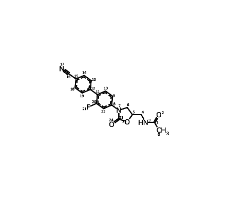 CC(=O)NCC1CN(c2ccc(-c3ccc(C#N)cc3)c(F)c2)C(=O)O1